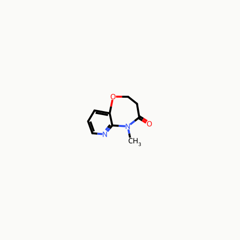 CN1C(=O)CCOc2cccnc21